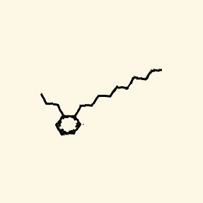 CCCCCCCCCCc1[c]cccc1CCC